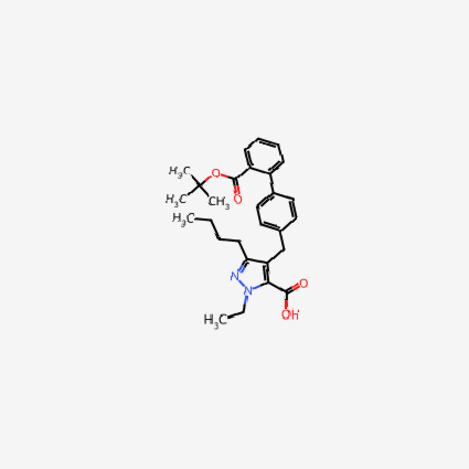 CCCCc1nn(CC)c(C(=O)O)c1Cc1ccc(-c2ccccc2C(=O)OC(C)(C)C)cc1